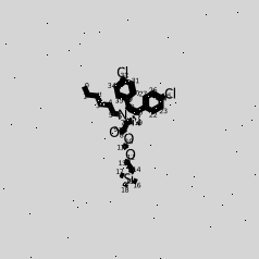 CCCCCCn1c(C(=O)OCOCC[Si](C)(C)C)nc(-c2ccc(Cl)cc2)c1-c1ccc(Cl)cc1